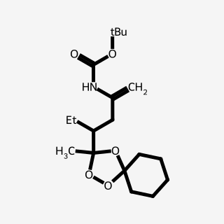 C=C(CC(CC)C1(C)OOC2(CCCCC2)O1)NC(=O)OC(C)(C)C